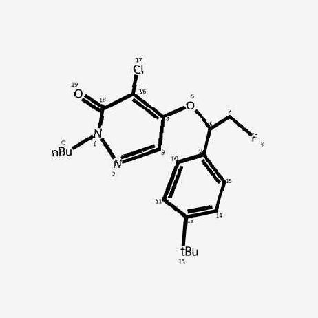 CCCCn1ncc(OC(CF)c2ccc(C(C)(C)C)cc2)c(Cl)c1=O